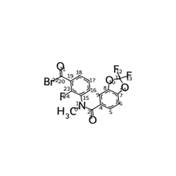 CN(C(=O)c1ccc2c(c1)OC(F)(F)O2)c1cccc(C(=O)Br)c1F